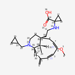 C=C1/C=C\C(OC)=C/C[C@@]2(CCNC3(C(=O)O)CC3)CCN(CC3CC3)[C@@H](C1)[C@H]2C